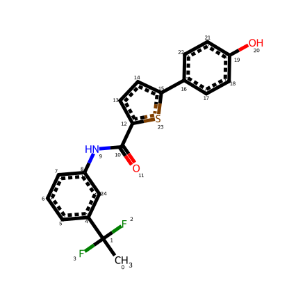 CC(F)(F)c1cccc(NC(=O)c2ccc(-c3ccc(O)cc3)s2)c1